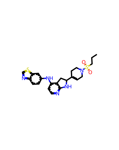 CCCS(=O)(=O)N1CC=C(C2Cc3c(Nc4ccc5ncsc5c4)ccnc3N2)CC1